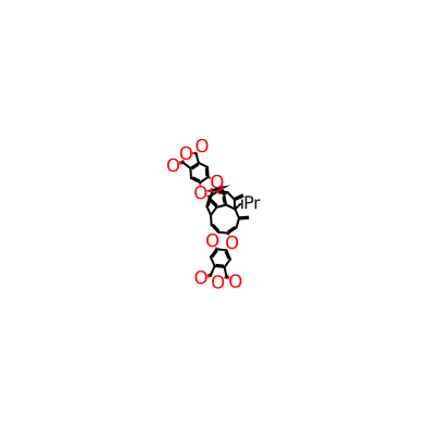 C=C1/C=c2/oc3cc4c(=O)oc(=O)c4cc3o/c2=C/C2/C=c3/oc4cc5c(=O)oc(=O)c5cc4o/c3=C/C(=C)C1(C(C)C)c1cc3ccccc3cc12